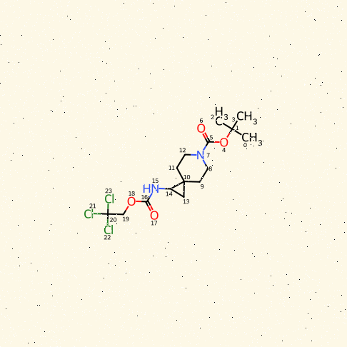 CC(C)(C)OC(=O)N1CCC2(CC1)CC2NC(=O)OCC(Cl)(Cl)Cl